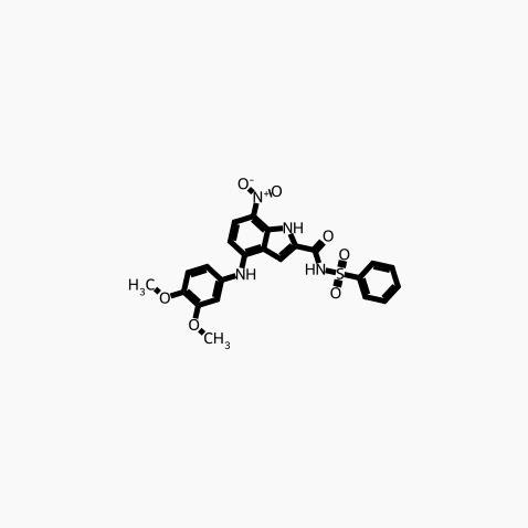 COc1ccc(Nc2ccc([N+](=O)[O-])c3[nH]c(C(=O)NS(=O)(=O)c4ccccc4)cc23)cc1OC